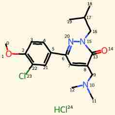 COc1ccc(-c2cc(CN(C)C)c(=O)n(CC(C)C)n2)cc1Cl.Cl